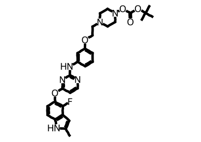 Cc1cc2c(F)c(Oc3ccnc(Nc4cccc(OCCN5CCN(OC(=O)OC(C)(C)C)CC5)c4)n3)ccc2[nH]1